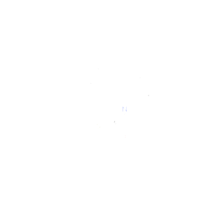 C=CCSC(=O)N1CCCC2CCCCC21